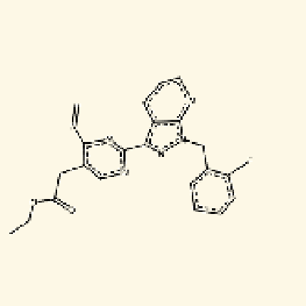 C=Nc1nc(-c2nn(Cc3ccccc3F)c3ncccc23)ncc1CC(=O)OCC